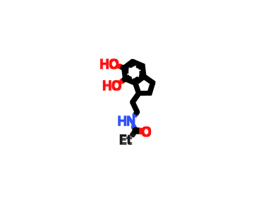 CCC(=O)NCCC1CCc2ccc(O)c(O)c21